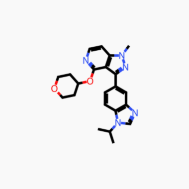 CC(C)n1cnc2cc(-c3nn(C)c4ccnc(OC5CCOCC5)c34)ccc21